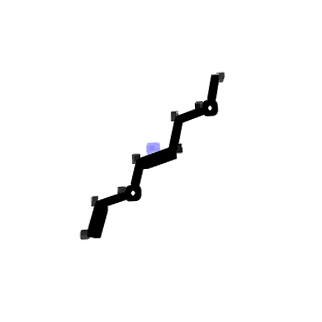 C=CO/C=C/COC